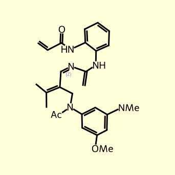 C=CC(=O)Nc1ccccc1NC(=C)/N=C\C(CN(C(C)=O)c1cc(NC)cc(OC)c1)=C(C)C